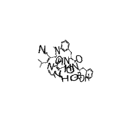 CC(C)C=C(C#N)C(=O)N(C)c1cccc(C[C@H](NC(=O)c2cnccn2)C(=O)N[C@@H](Cc2ccccc2)B(O)O)c1